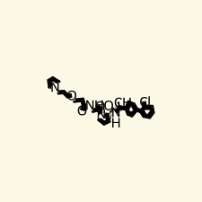 C[C@H](NC(=O)[C@@H]1CCCN1C(=O)CNC(=O)CCOCCCN1CCCC1)c1ccc(-c2ccccc2Cl)cc1